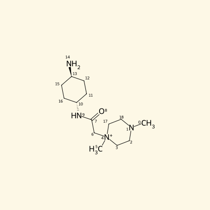 CN1CC[N+](C)(CC(=O)N[C@H]2CC[C@H](N)CC2)CC1